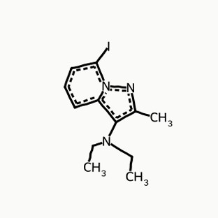 CCN(CC)c1c(C)nn2c(I)cccc12